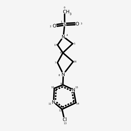 CS(=O)(=O)N1CC2(CN(c3cnc(Cl)cn3)C2)C1